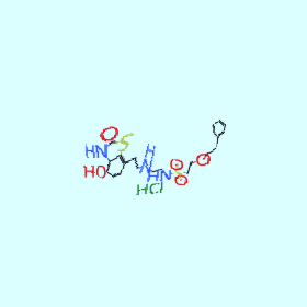 Cl.O=c1[nH]c2c(O)ccc(CCNCCNS(=O)(=O)CCOCCc3ccccc3)c2s1